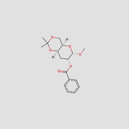 CO[C@H]1O[C@@H]2COC(C)(C)O[C@@H]2C[C@H]1OC(=O)c1ccccc1